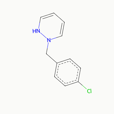 Clc1ccc(CN2C=CC=CN2)cc1